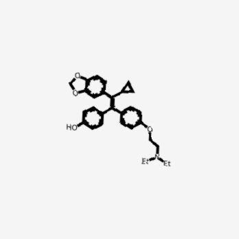 CCN(CC)CCOc1ccc(C(=C(c2ccc3c(c2)OCO3)C2CC2)c2ccc(O)cc2)cc1